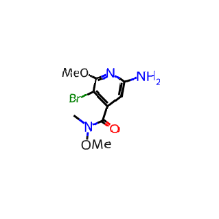 COc1nc(N)cc(C(=O)N(C)OC)c1Br